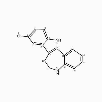 Clc1ccc2[nH]c3c(c2c1)CCNc1ccccc1-3